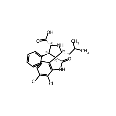 CC(C)C[C@H]1N[C@@H](C(=O)O)[C@H](c2ccccc2)[C@@]12C(=O)Nc1c2ccc(Cl)c1Cl